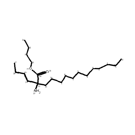 CCCCCCCCCCCCC(N)(CCCC)C(=O)OCCCC